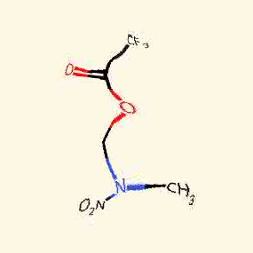 CN(COC(=O)C(F)(F)F)[N+](=O)[O-]